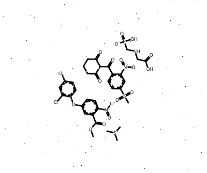 COC(=O)c1cc(Oc2ccc(Cl)cc2Cl)ccc1[N+](=O)[O-].CS(=O)(=O)c1ccc(C(=O)C2C(=O)CCCC2=O)c([N+](=O)[O-])c1.C[S+](C)C.O=C(O)CNCP(=O)([O-])O